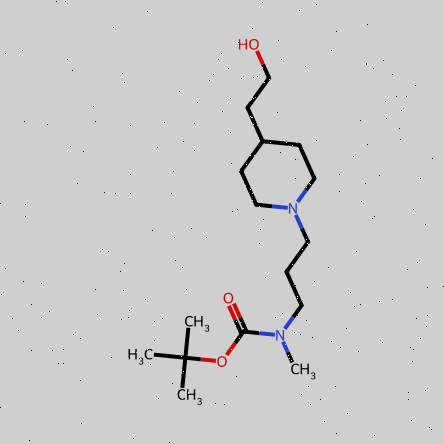 CN(CCCN1CCC(CCO)CC1)C(=O)OC(C)(C)C